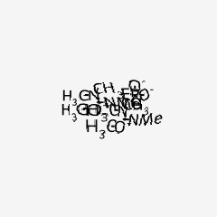 CNC(=[O+]C)N(C)C.CNC(=[O+]C)N(C)C.O=P([O-])([O-])F